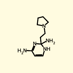 NC1=NC(N)(CCN2CCCC2)NC=C1